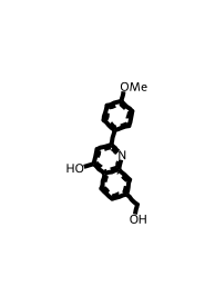 COc1ccc(-c2cc(O)c3ccc(CO)cc3n2)cc1